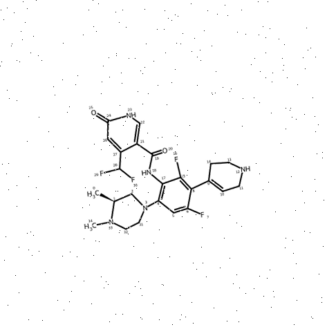 C[C@H]1CN(c2cc(F)c(C3=CCNCC3)c(F)c2NC(=O)c2c[nH]c(=O)cc2C(F)F)CCN1C